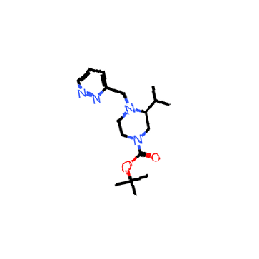 CC(C)C1CN(C(=O)OC(C)(C)C)CCN1Cc1cccnn1